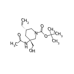 C=C[C@@H]1CN(C(=O)OC(C)(C)C)C[C@](CO)(NC(C)=O)C1